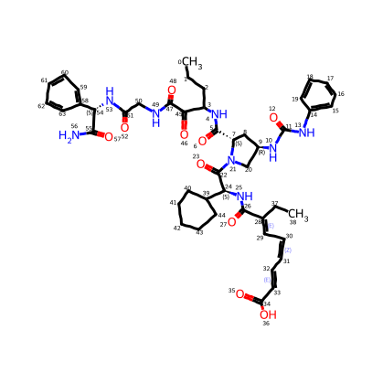 CCCC(NC(=O)[C@@H]1C[C@@H](NC(=O)Nc2ccccc2)CN1C(=O)[C@@H](NC(=O)/C(=C/C=C\C=C\C(=O)O)CC)C1CCCCC1)C(=O)C(=O)NCC(=O)N[C@H](C(N)=O)c1ccccc1